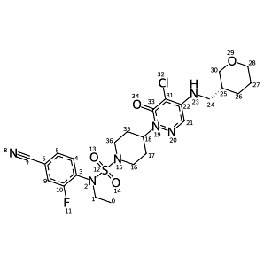 CCN(c1ccc(C#N)cc1F)S(=O)(=O)N1CCC(n2ncc(NC[C@H]3CCCOC3)c(Cl)c2=O)CC1